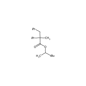 CC(C)CC(C)(C(=O)OC(C)C(C)(C)C)C(C)C